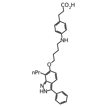 CCCc1c(OCCCCNc2ccc(CCC(=O)O)cc2)ccc2c(-c3ccccc3)[nH]nc12